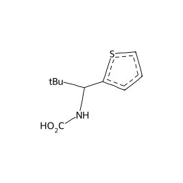 CC(C)(C)C(NC(=O)O)c1cccs1